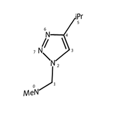 CNCn1cc(C(C)C)nn1